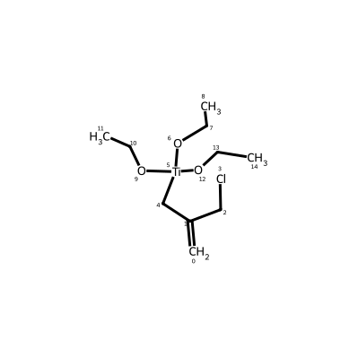 C=C(CCl)[CH2][Ti]([O]CC)([O]CC)[O]CC